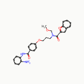 COCN(CCCOc1ccc(C(=O)Nc2ccccc2N)cc1)C(=O)c1cc2ccccc2o1